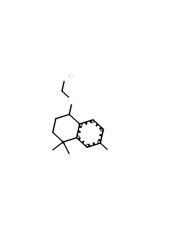 COCOC1CCC(C)(C)c2cc(C(C)=O)ccc21